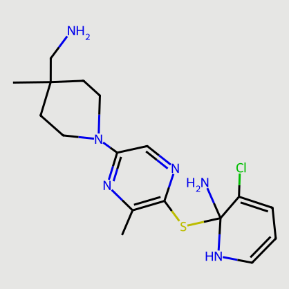 Cc1nc(N2CCC(C)(CN)CC2)cnc1SC1(N)NC=CC=C1Cl